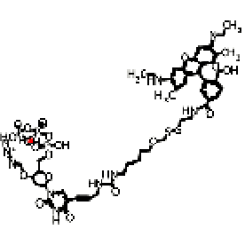 CC/N=c1/cc2oc3cc(NCC)c(C)cc3c(-c3cc(C(=O)NCCSSCOCCCCCNC(=O)NCC#Cc4cn([C@H]5C[C@H](OCN=[N+]=[N-])[C@@H](COP(=O)(O)OP(=O)(O)OP(=O)(O)O)O5)c(=O)[nH]c4=O)ccc3C(=O)O)c-2cc1C